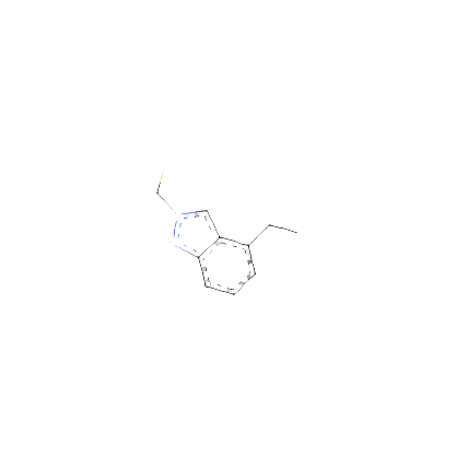 CCc1cccc2nn(CF)cc12